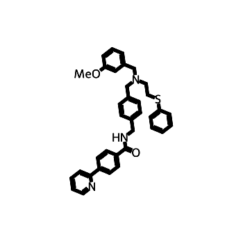 COc1cccc(CN(CCSc2ccccc2)Cc2ccc(CNC(=O)c3ccc(-c4ccccn4)cc3)cc2)c1